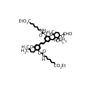 CCOC(=O)CCCCCNC(=O)Oc1cc(/C=C/c2cc3c(c(OC(=O)NCCCCCC(=O)OCC)c2)O[C@]2(C)CC[C@@H](OC=O)C(C)(C)[C@H]2C3)cc2c1CCC(C)(C)O2